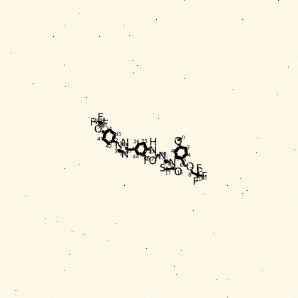 COc1ccc(COCC(F)(F)F)c(N2C(=O)CS/C2=N\C(=O)Nc2ccc(-c3ncn(-c4ccc(OC(F)(F)F)cc4)n3)cc2F)c1